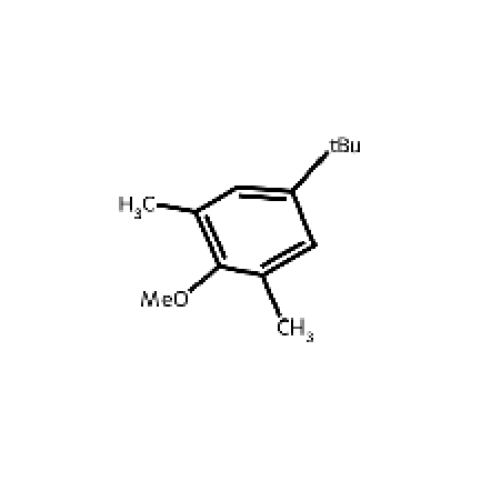 [CH2]Oc1c(C)cc(C(C)(C)C)cc1C